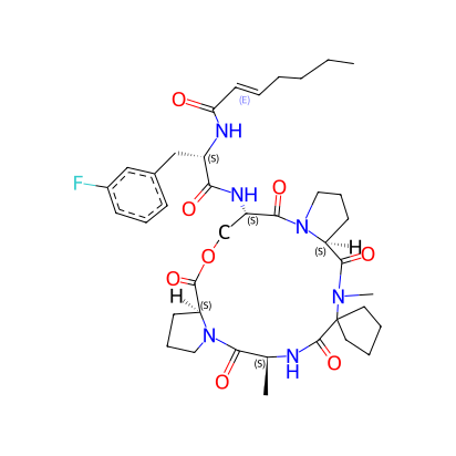 CCCC/C=C/C(=O)N[C@@H](Cc1cccc(F)c1)C(=O)N[C@H]1COC(=O)[C@@H]2CCCN2C(=O)[C@H](C)NC(=O)C2(CCCC2)N(C)C(=O)[C@@H]2CCCN2C1=O